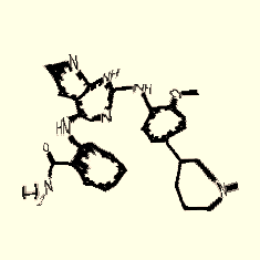 COc1cc(C2CCCN(C)C2)ccc1Nc1nc(Nc2ccccc2C(N)=O)c2ccnc-2[nH]1